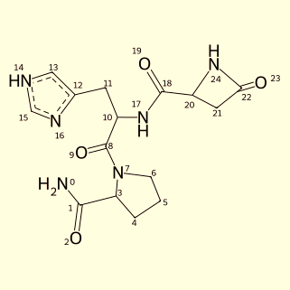 NC(=O)C1CCCN1C(=O)C(Cc1c[nH]cn1)NC(=O)C1CC(=O)N1